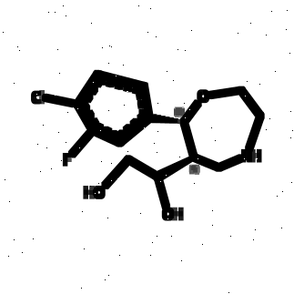 OCC(O)[C@@H]1CNCCO[C@H]1c1ccc(Cl)c(F)c1